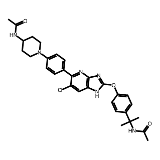 CC(=O)NC1CCN(c2ccc(-c3nc4nc(Oc5ccc(C(C)(C)NC(C)=O)cc5)[nH]c4cc3Cl)cc2)CC1